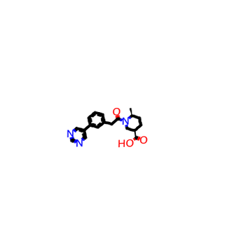 C[C@H]1CC[C@@H](C(=O)O)CN1C(=O)Cc1cccc(-c2cncnc2)c1